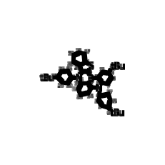 CC(C)(C)c1ccc(N2c3ccc(C(C)(C)C)cc3B3c4sc5ccccc5c4N(c4ccc(C(C)(C)C)cc4)c4cccc2c43)cc1